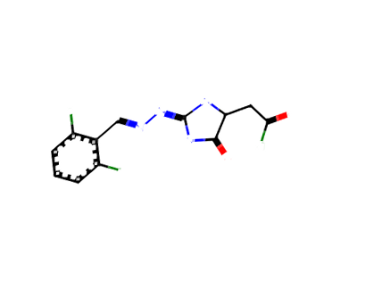 O=C(Cl)CC1NC(=NN=Cc2c(F)cccc2F)NC1=O